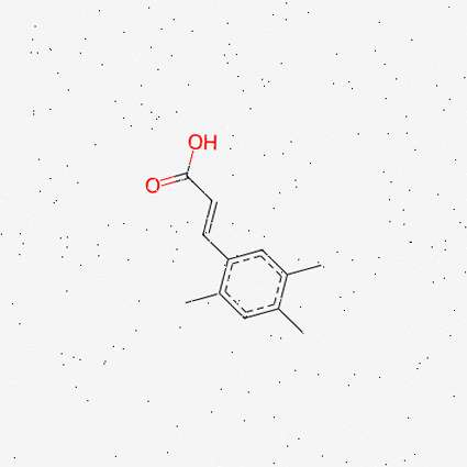 Cc1cc(C)c(C=CC(=O)O)cc1C